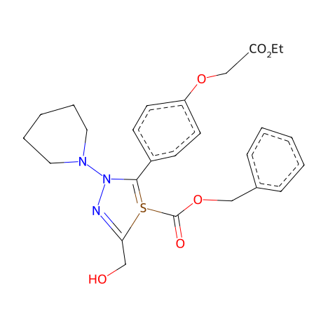 CCOC(=O)COc1ccc(C2=S(C(=O)OCc3ccccc3)C(CO)=NN2N2CCCCC2)cc1